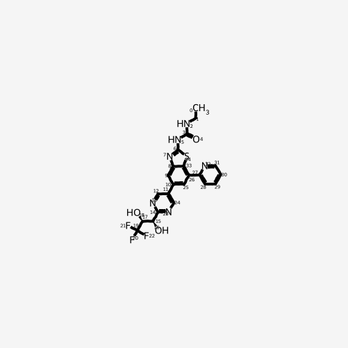 CCNC(=O)Nc1nc2cc(-c3cnc([C@@H](O)[C@H](O)C(F)(F)F)nc3)cc(-c3ccccn3)c2s1